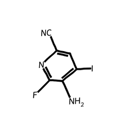 N#Cc1cc(I)c(N)c(F)n1